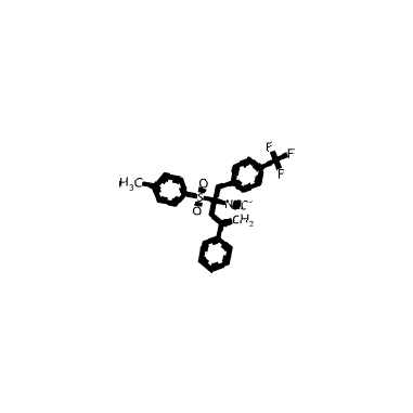 [C-]#[N+]C(CC(=C)c1ccccc1)(Cc1ccc(C(F)(F)F)cc1)S(=O)(=O)c1ccc(C)cc1